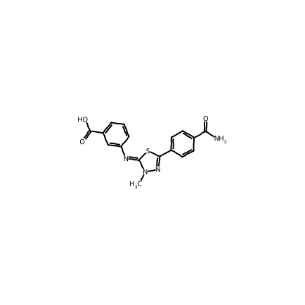 Cn1nc(-c2ccc(C(N)=O)cc2)sc1=Nc1cccc(C(=O)O)c1